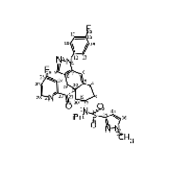 CC(C)N([C@H]1CCC2=Cc3c(cnn3-c3ccc(F)cc3)C[C@]2(C(=O)c2cc(F)ccn2)C1)S(=O)(=O)c1ccn(C)n1